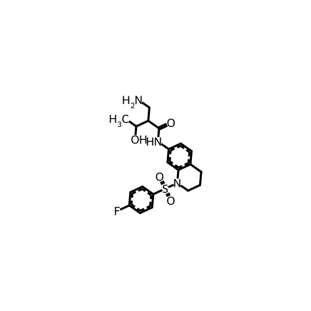 CC(O)C(CN)C(=O)Nc1ccc2c(c1)N(S(=O)(=O)c1ccc(F)cc1)CCC2